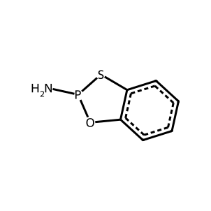 NP1Oc2ccccc2S1